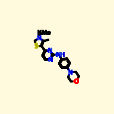 CNN1CSC(c2ccnc(Nc3ccc(N4CCOCC4)cc3)n2)=C1C